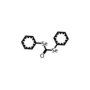 O=C([Se]c1ccccc1)[Se]c1ccccc1